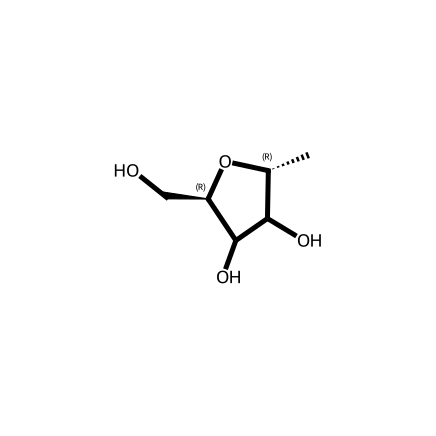 C[C@H]1O[C@H](CO)C(O)C1O